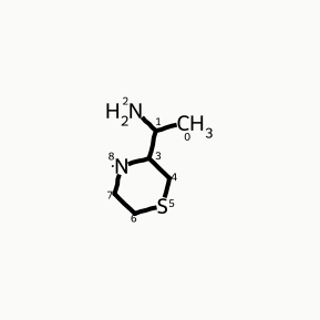 CC(N)C1CSCC[N]1